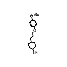 CCCCOc1ccc(OCCCC2CCC(CCC)CC2)cc1